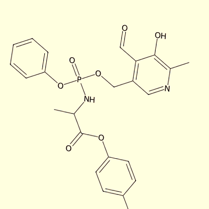 Cc1ncc(COP(=O)(NC(C)C(=O)Oc2ccc(Cl)cc2)Oc2ccccc2)c(C=O)c1O